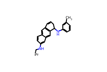 Cc1cccc(NC2CC=Cc3cc4ccc(NCC(C)C)cc4cc32)c1